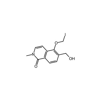 Cn1ccc2c(OCI)c(CO)ccc2c1=O